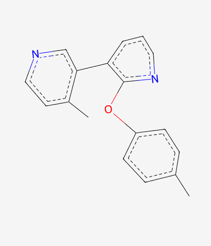 Cc1ccc(Oc2ncccc2-c2cnccc2C)cc1